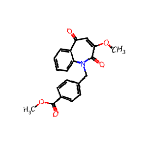 COC(=O)c1ccc(Cn2c(=O)c(OC)cc(=O)c3ccccc32)cc1